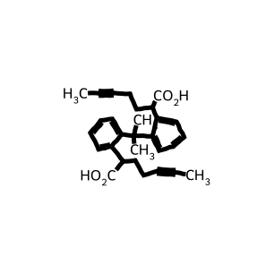 CC#CCCC(C(=O)O)c1ccccc1C(C)(C)c1ccccc1C(CCC#CC)C(=O)O